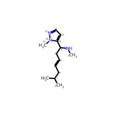 CNC(C/C=C/CC(C)C)c1ccnn1C